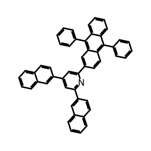 c1ccc(-c2c3ccccc3c(-c3ccccc3)c3cc(-c4cc(-c5ccc6ccccc6c5)cc(-c5ccc6ccccc6c5)n4)ccc23)cc1